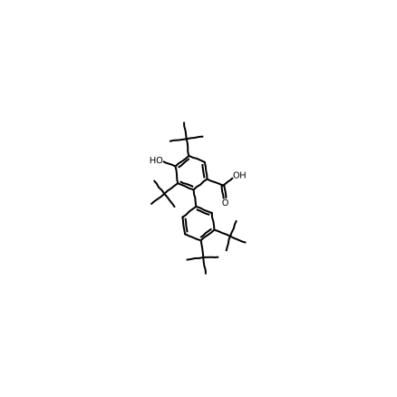 CC(C)(C)c1ccc(-c2c(C(=O)O)cc(C(C)(C)C)c(O)c2C(C)(C)C)cc1C(C)(C)C